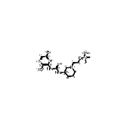 CC(C)(C)[Si](C)(C)OCCN1CCC[C@@H](NC(=S)Nc2nc(Br)cnc2O)C1